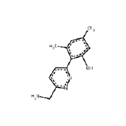 Cc1cc(C(F)(F)F)cc(O)c1-c1ccc(CN)nn1